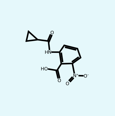 O=C(O)c1c(NC(=O)C2CC2)cccc1[N+](=O)[O-]